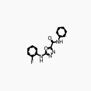 O=C(Nc1[c]cccc1)c1nnc(Nc2ccccc2F)o1